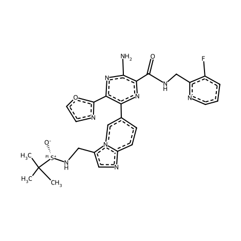 CC(C)(C)[S@+]([O-])NCc1cnc2ccc(-c3nc(C(=O)NCc4ncccc4F)c(N)nc3-c3ncco3)cn12